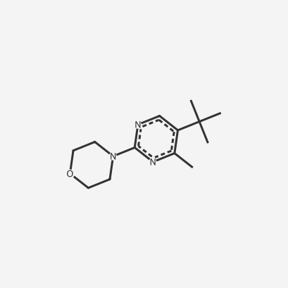 Cc1nc(N2CCOCC2)ncc1C(C)(C)C